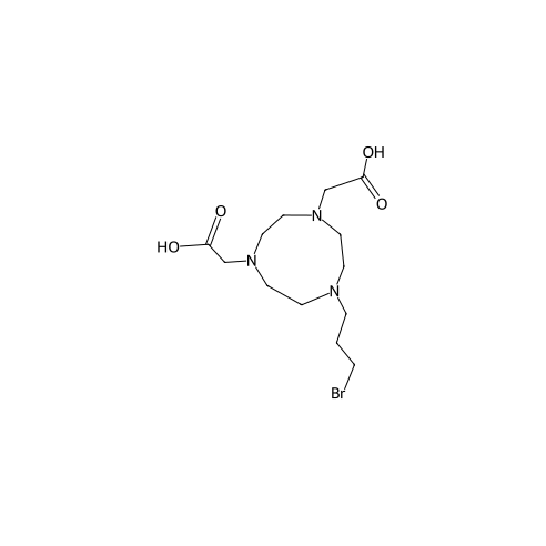 O=C(O)CN1CCN(CCCBr)CCN(CC(=O)O)CC1